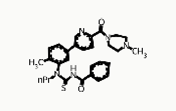 CCCN(C(=S)NC(=O)c1ccccc1)c1cc(-c2ccc(C(=O)N3CCN(C)CC3)nc2)ccc1C